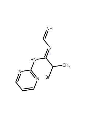 CC(Br)/C(=N/C=N)Nc1ncccn1